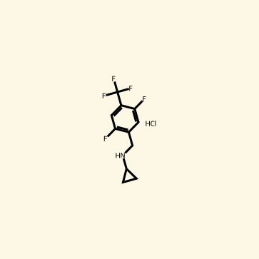 Cl.Fc1cc(C(F)(F)F)c(F)cc1CNC1CC1